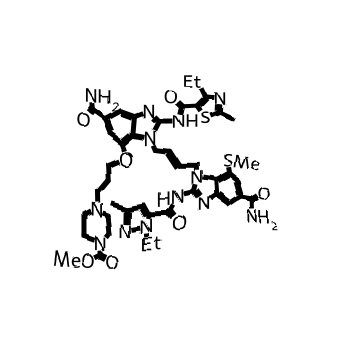 CCc1nc(C)sc1C(=O)Nc1nc2cc(C(N)=O)cc(OCCCN3CCN(C(=O)OC)CC3)c2n1C/C=C/Cn1c(NC(=O)c2cc(C)nn2CC)nc2cc(C(N)=O)cc(SC)c21